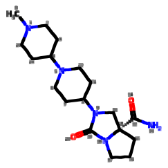 CN1CCC(N2CCC(N3C[C@@]4(C(N)=O)[CH]CCN4C3=O)CC2)CC1